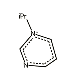 CC(C)[n+]1cccnc1